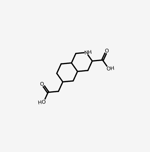 O=C(O)CC1CCC2CNC(C(=O)O)CC2C1